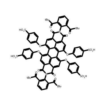 CC(C)(C)C(=O)c1cccc(C(=O)C(C)(C)C)c1N1C(=O)c2cc(Oc3ccc(S(=O)(=O)O)cc3)c3c4c(Oc5ccc(S(=O)(=O)O)cc5)cc5c6c(cc(Oc7ccc(S(=O)(=O)O)cc7)c(c7c(Oc8ccc(S(=O)(=O)O)cc8)cc(c2c37)C1=O)c64)C(=O)N(c1c(C(=O)C(C)(C)C)cccc1C(=O)C(C)(C)C)C5=O